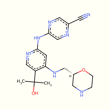 CC(C)(O)c1cnc(Nc2cnc(C#N)cn2)cc1NC[C@H]1CNCCO1